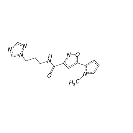 Cn1cccc1-c1cc(C(=O)NCCCn2cncn2)no1